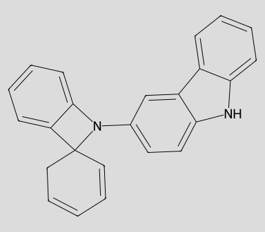 C1=CCC2(C=C1)c1ccccc1N2c1ccc2[nH]c3ccccc3c2c1